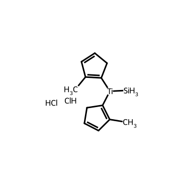 CC1=[C]([Ti]([SiH3])[C]2=C(C)C=CC2)CC=C1.Cl.Cl